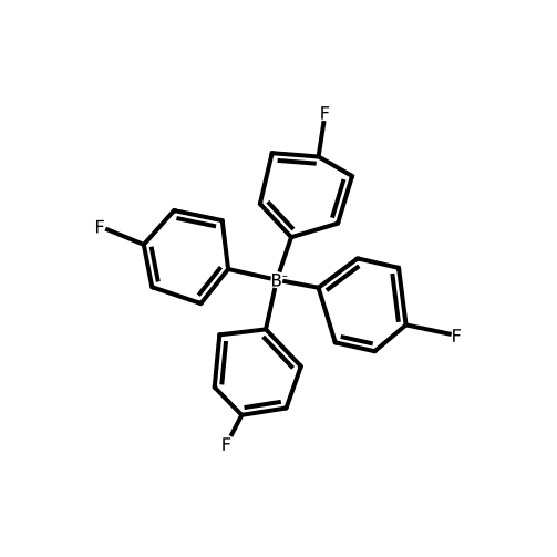 Fc1ccc([B-](c2ccc(F)cc2)(c2ccc(F)cc2)c2ccc(F)cc2)cc1